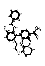 Cc1c(C(N)=O)ccc(-c2c(OCc3ccccc3)c(=O)ccn2CCO)c1OC1CCCCO1